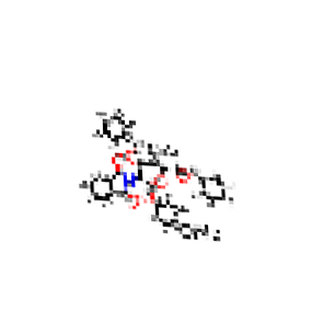 COc1ccc(O[C@H]2O[C@H](COCc3ccccc3)[C@@H](OC(C)=O)[C@H](OCc3ccccc3)[C@@H]2N2C(=O)c3ccccc3C2=O)cc1